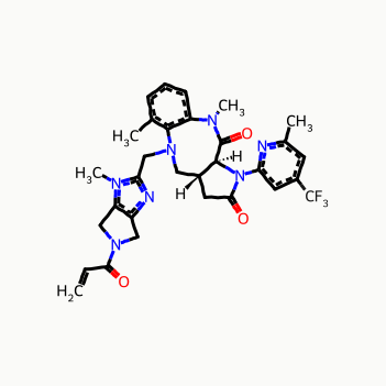 C=CC(=O)N1Cc2nc(CN3C[C@H]4CC(=O)N(c5cc(C(F)(F)F)cc(C)n5)[C@@H]4C(=O)N(C)c4cccc(C)c43)n(C)c2C1